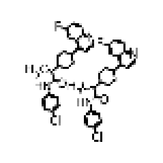 CC(C(=O)Nc1ccc(Cl)cc1)C1CCC(c2ccnc3ccc(F)cc23)CC1.CC(C(=O)Nc1ccc(Cl)cc1)C1CCC(c2ccnc3ccc(F)cc23)CC1